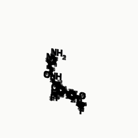 Nc1ccc(C=CC(=O)NCc2cc3cc(-c4ccc(C(=O)N5CC(F)C5)cc4)cc(C(F)(F)F)c3o2)cn1